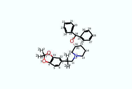 [2H]C1([2H])Oc2ccc(C([2H])([2H])CN3CCC[C@@H](OC(c4ccccc4)c4ccccc4)C3)cc2O1